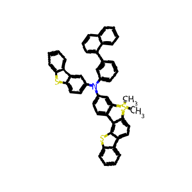 CS1(C)c2cc(N(c3cccc(-c4cccc5ccccc45)c3)c3ccc4sc5ccccc5c4c3)ccc2-c2c1ccc1c2sc2ccccc21